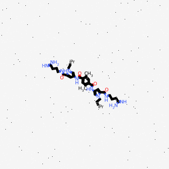 Cc1cc(C(=O)Nc2cc(C(=O)NCCCC(=N)N)n(CCC(C)C)c2)c(C)cc1C(=O)Nc1cc(C(=O)NCCCC(=N)N)n(CCC(C)C)c1